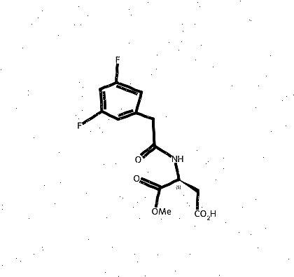 COC(=O)[C@H](CC(=O)O)NC(=O)Cc1cc(F)cc(F)c1